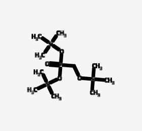 C[Si](C)(C)OCP(=O)(O[Si](C)(C)C)O[Si](C)(C)C